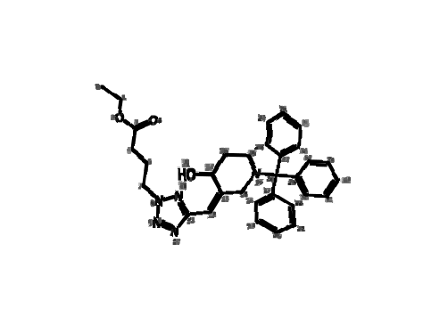 CCOC(=O)CCCn1nnc(C=C2CN(C(c3ccccc3)(c3ccccc3)c3ccccc3)CCC2O)n1